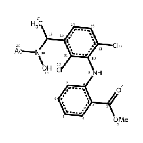 COC(=O)c1ccccc1Nc1c(Cl)ccc(C(C)N(O)C(C)=O)c1Cl